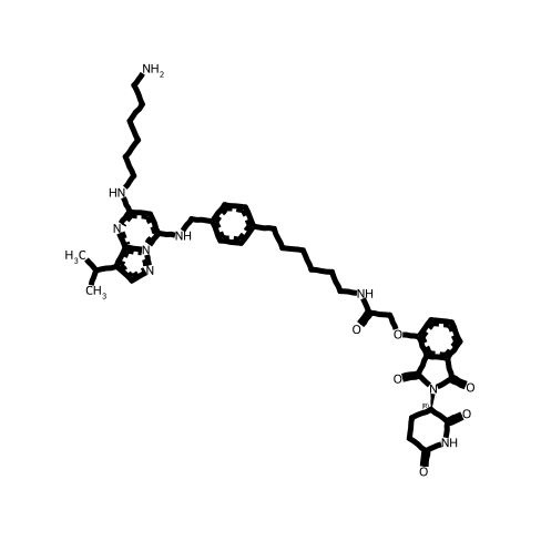 CC(C)c1cnn2c(NCc3ccc(CCCCCCNC(=O)COc4cccc5c4C(=O)N([C@@H]4CCC(=O)NC4=O)C5=O)cc3)cc(NCCCCCCN)nc12